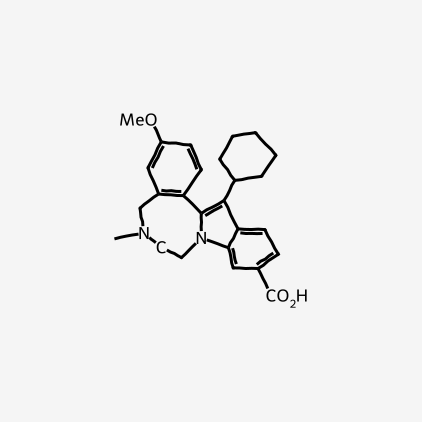 COc1ccc2c(c1)CN(C)CCn1c-2c(C2CCCCC2)c2ccc(C(=O)O)cc21